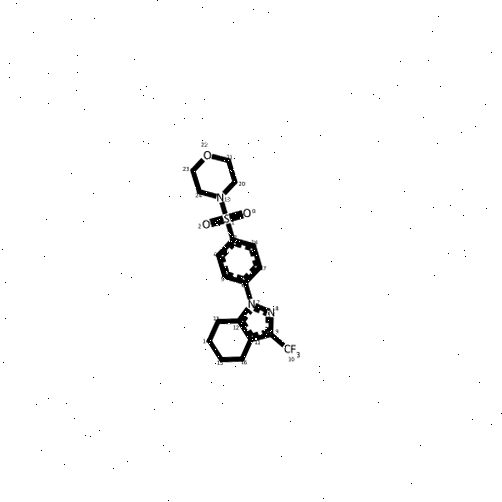 O=S(=O)(c1ccc(-n2nc(C(F)(F)F)c3c2CCCC3)cc1)N1CCOCC1